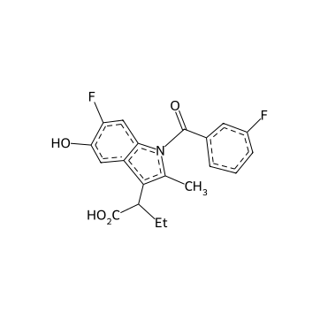 CCC(C(=O)O)c1c(C)n(C(=O)c2cccc(F)c2)c2cc(F)c(O)cc12